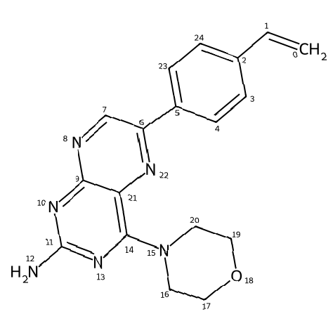 C=Cc1ccc(-c2cnc3nc(N)nc(N4CCOCC4)c3n2)cc1